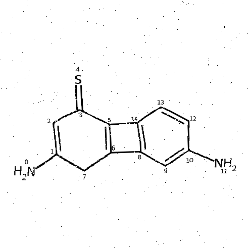 NC1=CC(=S)C2=C(C1)c1cc(N)ccc12